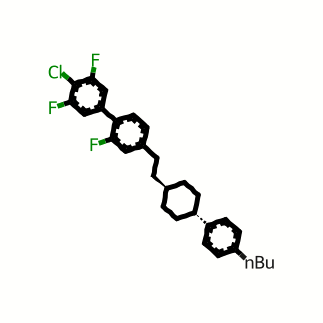 CCCCc1ccc([C@H]2CC[C@H](CCc3ccc(-c4cc(F)c(Cl)c(F)c4)c(F)c3)CC2)cc1